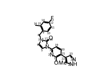 COc1nc(-n2ccn(Cc3ccc(F)cc3C)c2=O)ccc1-c1cn[nH]c1